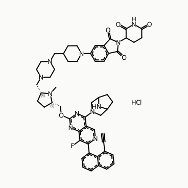 C#Cc1cccc2cccc(-c3ncc4c(N5CC6CCC(C5)N6)nc(OC[C@@H]5CC[C@H](CN6CCN(CC7CCN(c8ccc9c(c8)C(=O)N(C8CCC(=O)NC8=O)C9=O)CC7)CC6)N5C)nc4c3F)c12.Cl